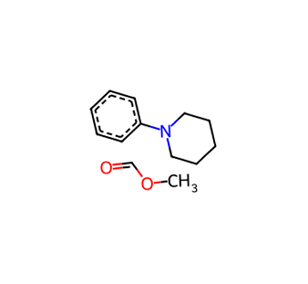 COC=O.c1ccc(N2CCCCC2)cc1